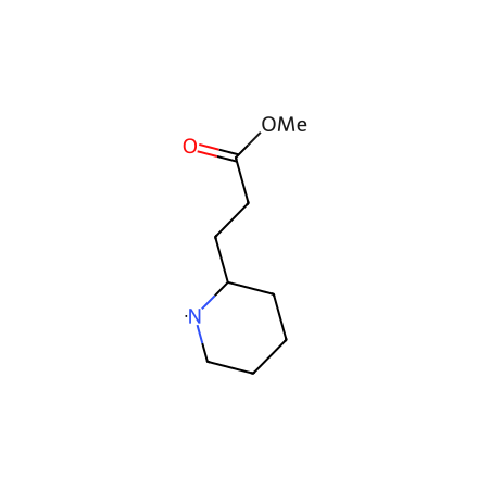 COC(=O)CCC1CCCC[N]1